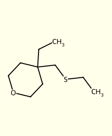 CCSCC1(CC)CCOCC1